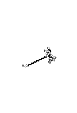 CCCCCCCCCCCCCCCCOC1C(O[PH](=O)O)C(CO)OC1n1ccc(=O)[nH]c1=O